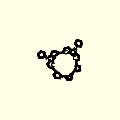 c1ccc(-n2c3ccc4cc3c3cc(ccc32)c2ccc3c(c2)c2cc(ccc2n3-c2ccccc2)c2cccc(c2)c2cccc(c2)c2cccc4c2)cc1